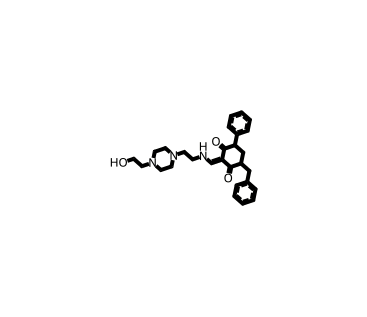 O=C1/C(=C/NCCN2CCN(CCO)CC2)C(=O)C(c2ccccc2)CC1Cc1ccccc1